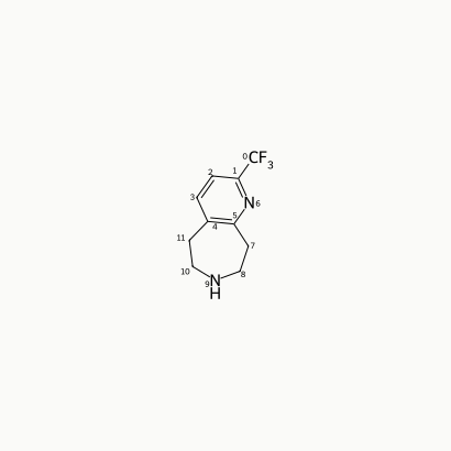 FC(F)(F)c1ccc2c(n1)CCNCC2